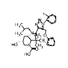 CC(C)CN(C(=O)c1nnn(-c2ccccc2F)c1COc1ccccc1)[C@H]1C[C@@H](CO)CN(C(=O)O)C1C(C)(C)C